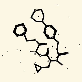 C[C@@H](OC(=O)[C@H](CC1CC1)N(C)C(=O)[CH]Cc1ccc(C2CCOCC2)cc1)C(=O)OCc1ccccc1